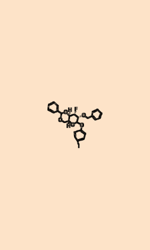 F[C@H]1[C@@H]2OC(c3ccccc3)OC[C@H]2OC(Oc2ccc(I)cc2)[C@H]1OCc1ccccc1